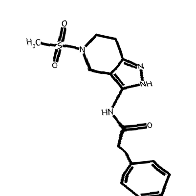 CS(=O)(=O)N1CCc2n[nH]c(NC(=O)Cc3ccccc3)c2C1